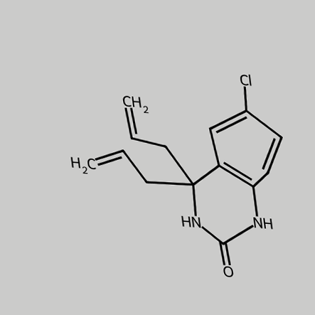 C=CCC1(CC=C)NC(=O)Nc2ccc(Cl)cc21